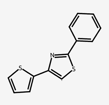 [c]1sc(-c2ccccc2)nc1-c1cccs1